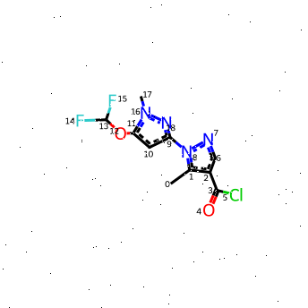 Cc1c(C(=O)Cl)cnn1-c1cc(OC(F)F)n(C)n1